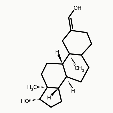 C[C@]12CC[C@H]3[C@@H](CCC4CC/C(=C\O)C[C@@]43C)[C@@H]1CC[C@@H]2O